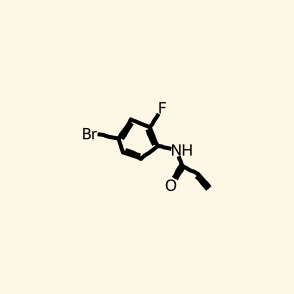 C=CC(=O)Nc1ccc(Br)cc1F